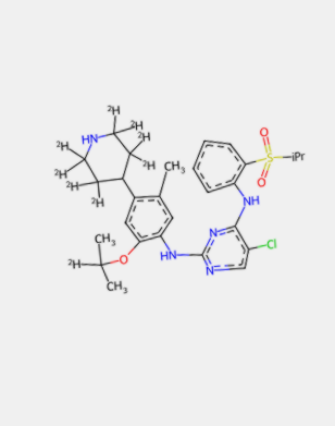 [2H]C(C)(C)Oc1cc(C2C([2H])([2H])C([2H])([2H])NC([2H])([2H])C2([2H])[2H])c(C)cc1Nc1ncc(Cl)c(Nc2ccccc2S(=O)(=O)C(C)C)n1